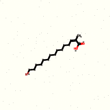 CC(=CCCCCCCCCCCCCBr)C(=O)O